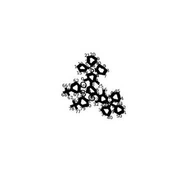 Cc1cc([Si](c2ccccc2)(c2ccccc2)c2ccccc2)cc(C)c1-c1cc(-c2c(C)cc([Si](c3ccccc3)(c3ccccc3)c3ccccc3)cc2C)c2c3c1Oc1ccc(C(C)(C)C)cc1B3c1cc(C(C)(C)C)ccc1O2